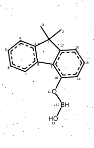 CC1(C)c2ccccc2-c2c(OBO)cccc21